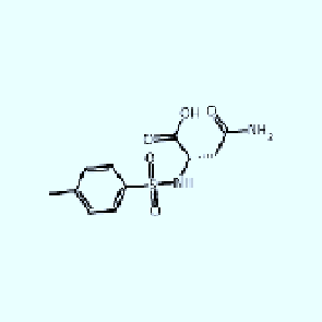 Cc1ccc(S(=O)(=O)N[C@@H](CC(N)=O)C(=O)O)cc1